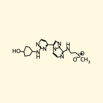 CS(=O)(=O)CCNc1nccn2c(-c3ccnc(NC4CCC(O)CC4)n3)cnc12